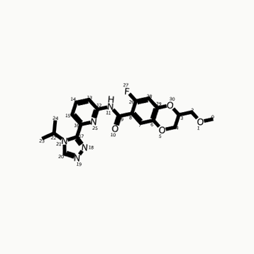 COCC1COc2cc(C(=O)Nc3cccc(-c4nncn4C(C)C)n3)c(F)cc2O1